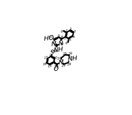 Cc1cccc(C)c1-c1cc(O)nc(NSc2cccc(C(=O)N3CCCNCC3)c2)n1